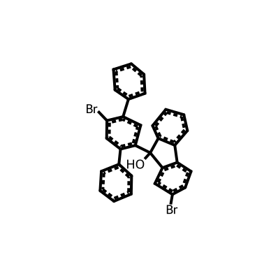 OC1(c2cc(-c3ccccc3)c(Br)cc2-c2ccccc2)c2ccccc2-c2ccc(Br)cc21